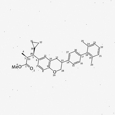 COC(=O)[C@@H](C)[C@H](c1ccc2c(c1)CC(c1ccc(-c3c(C)cccc3C)cc1)CO2)C1CC1